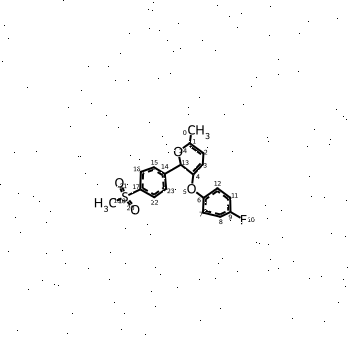 CC1=CC=C(Oc2ccc(F)cc2)C(c2ccc(S(C)(=O)=O)cc2)O1